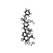 CC1Cc2sc(-c3ccc4c(=O)c(C(=O)O)cn(C5CC5)c4c3OC(F)F)cc2CN1C(=O)OCc1ccccc1